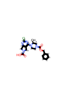 C[C@H]1CN(C(=O)OCc2ccccc2)CCN1c1nc(Cl)nc2c1CN(C(=O)O)C2